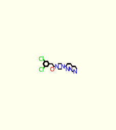 O=C(Cc1cc(Cl)cc(Cl)c1)N1CCN(C2=NN3C=NCC=C3C=C2)CC1